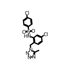 Cc1nnnn1Cc1ccc(Cl)cc1NS(=O)(=O)c1ccc(Cl)cc1